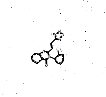 Cc1ccccc1-n1c(/C=C/c2nnn[nH]2)nc2ccccc2c1=O